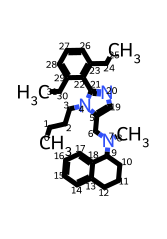 CCCCn1c(CN(C)C2CCCc3ccccc32)cnc1-c1c(CC)cccc1CC